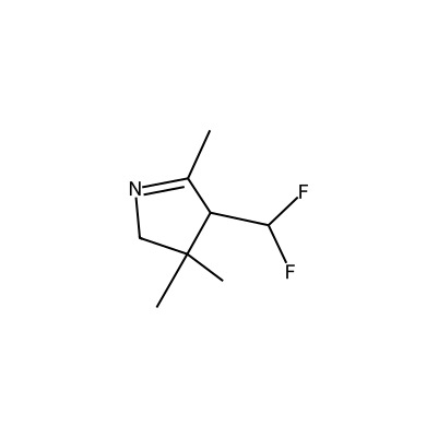 CC1=NCC(C)(C)C1C(F)F